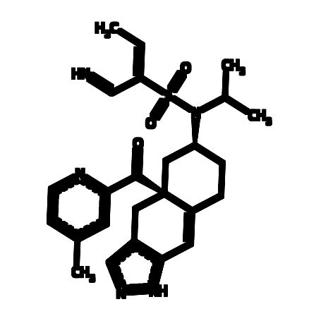 C/C=C(\C=N)S(=O)(=O)N(C(C)C)[C@H]1CCC2=Cc3[nH]ncc3C[C@]2(C(=O)c2cc(C)ccn2)C1